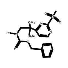 CCN(CC(OC)(OC)c1ccnc(S(C)(=O)=O)n1)C(=O)OCc1ccccc1